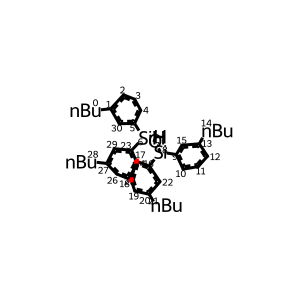 CCCCc1cccc([SiH](O[SiH](c2cccc(CCCC)c2)c2cccc(CCCC)c2)c2cccc(CCCC)c2)c1